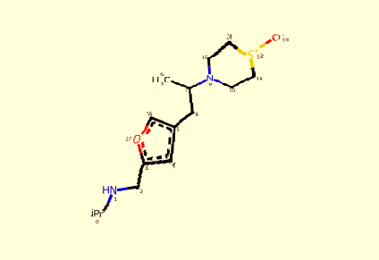 CC(C)NCc1cc(CC(C)N2CC[S+]([O-])CC2)co1